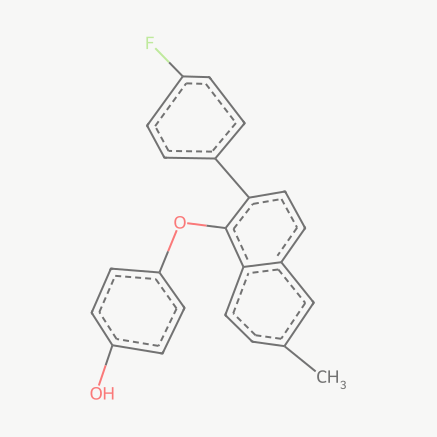 Cc1ccc2c(Oc3ccc(O)cc3)c(-c3ccc(F)cc3)ccc2c1